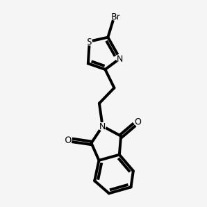 O=C1c2ccccc2C(=O)N1CCc1csc(Br)n1